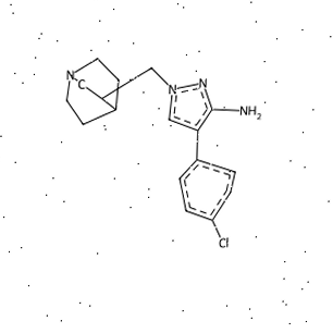 Nc1nn(CC2CN3CCC2CC3)cc1-c1ccc(Cl)cc1